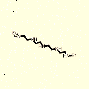 CCNCCNCCNCCNCCNCC